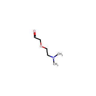 CN(C)CCOC[C]=O